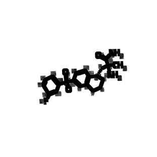 CC(N)(C[C@@H]1CCCc2cc(S(=O)(=O)c3cccc(F)c3)ccc21)C(N)=O